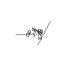 CCCCCCCCCCC(CCCCCCCC)C(=O)NC(CCSCCC(=O)OCCCCCCCC)C(=O)N(C)CCN(C)C